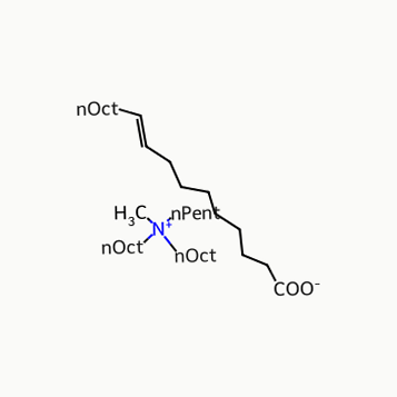 CCCCCCCCC=CCCCCCCCC(=O)[O-].CCCCCCCC[N+](C)(CCCCC)CCCCCCCC